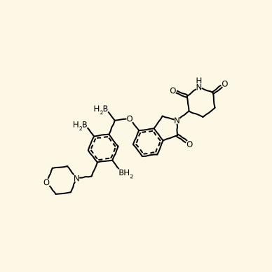 Bc1cc(C(B)Oc2cccc3c2CN(C2CCC(=O)NC2=O)C3=O)c(B)cc1CN1CCOCC1